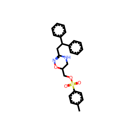 Cc1ccc(S(=O)(=O)OCC2CNC(CC(c3ccccc3)c3ccccc3)=NO2)cc1